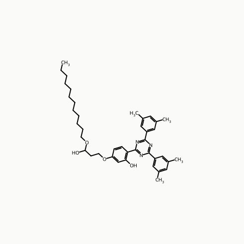 CCCCCCCCCCCCOC(O)CCOc1ccc(-c2nc(-c3cc(C)cc(C)c3)nc(-c3cc(C)cc(C)c3)n2)c(O)c1